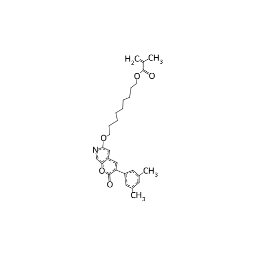 C=C(C)C(=O)OCCCCCCCCCOc1cc2cc(-c3cc(C)cc(C)c3)c(=O)oc2cn1